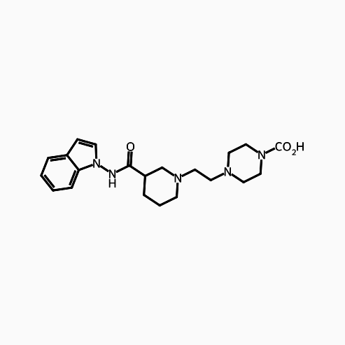 O=C(Nn1ccc2ccccc21)C1CCCN(CCN2CCN(C(=O)O)CC2)C1